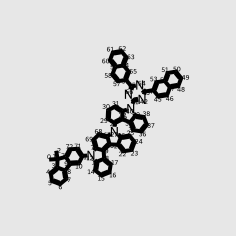 CC1(C)c2ccccc2-c2cc(-n3c4ccccc4c4c5c6ccccc6n(-c6cccc7c6c6ccccc6n7-c6nc(-c7ccc8ccccc8c7)nc(-c7ccc8ccccc8c7)n6)c5ccc43)ccc21